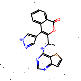 CC(Nc1ncnc2ccsc12)c1oc(=O)c2ccccc2c1-c1cn[nH]c1